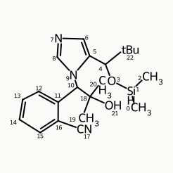 C[SiH](C)OC(c1cncn1C(c1ccccc1C#N)C(C)(C)O)C(C)(C)C